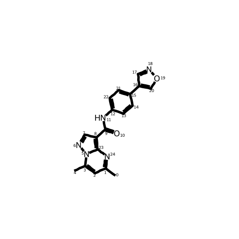 Cc1cc(C)n2ncc(C(=O)Nc3ccc(-c4cnoc4)cc3)c2n1